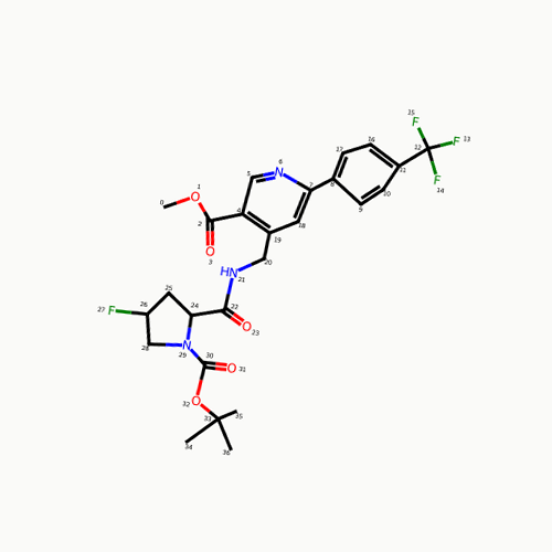 COC(=O)c1cnc(-c2ccc(C(F)(F)F)cc2)cc1CNC(=O)C1CC(F)CN1C(=O)OC(C)(C)C